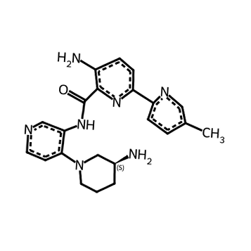 Cc1ccc(-c2ccc(N)c(C(=O)Nc3cnccc3N3CCC[C@H](N)C3)n2)nc1